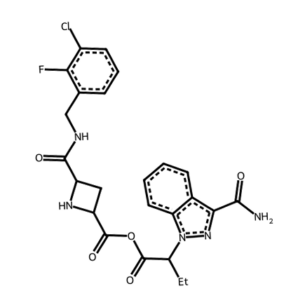 CCC(C(=O)OC(=O)C1CC(C(=O)NCc2cccc(Cl)c2F)N1)n1nc(C(N)=O)c2ccccc21